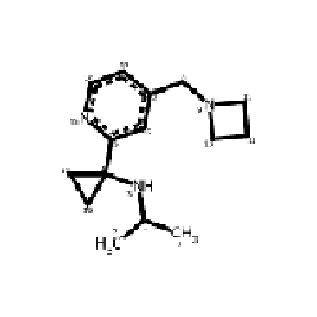 CC(C)NC1(c2cc(CN3CCC3)ccn2)CC1